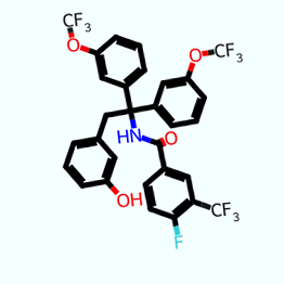 O=C(NC(Cc1cccc(O)c1)(c1cccc(OC(F)(F)F)c1)c1cccc(OC(F)(F)F)c1)c1ccc(F)c(C(F)(F)F)c1